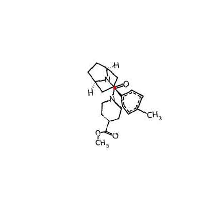 COC(=O)C1CCN(C(=O)N2[C@@H]3CC[C@H]2C[C@@H](c2ccc(C)cc2)C3)CC1